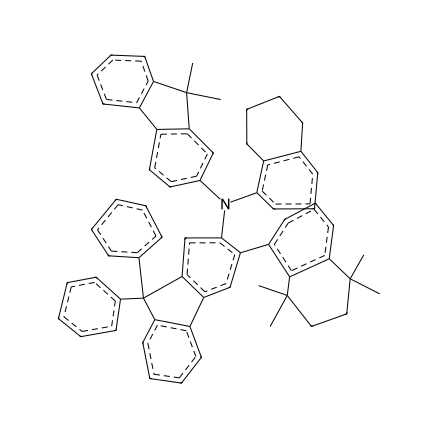 CC1(C)CCC(C)(C)c2c(-c3cc4c(cc3N(c3ccc5c(c3)C(C)(C)c3ccccc3-5)c3cccc5c3CCCC5)C(c3ccccc3)(c3ccccc3)c3ccccc3-4)cccc21